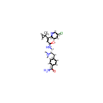 CN(C)[C@H](CNC(=O)/C=C(\c1ccc(Cl)cn1)C1(C(F)(F)F)CC1)Cc1ccc(C(N)=O)cc1